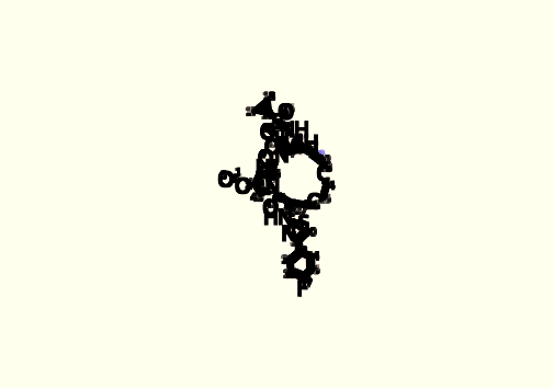 O=CO[C@@H]1C[C@H]2C(=O)N[C@]3(C(=O)NS(=O)(=O)C4CC4)C[C@H]3/C=C\CCCCC[C@H](Nc3nc(-c4ccc(F)cc4)cs3)C(=O)N2C1